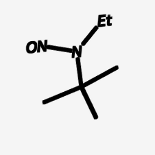 CCN(N=O)C(C)(C)C